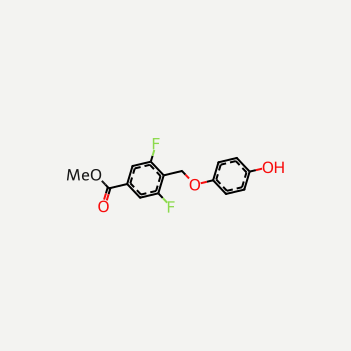 COC(=O)c1cc(F)c(COc2ccc(O)cc2)c(F)c1